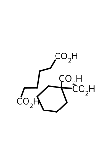 O=C(O)C1(C(=O)O)CCCCC1.O=C(O)CCCCC(=O)O